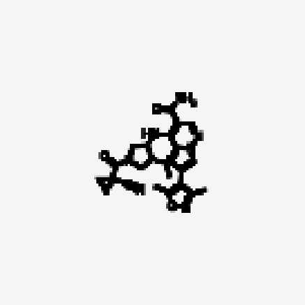 CC[C@H]1CN(C(=O)C2(C#N)CC2)C[C@H]1Nc1c(C(N)=O)cnn2cc(-c3c(C)noc3C)nc12